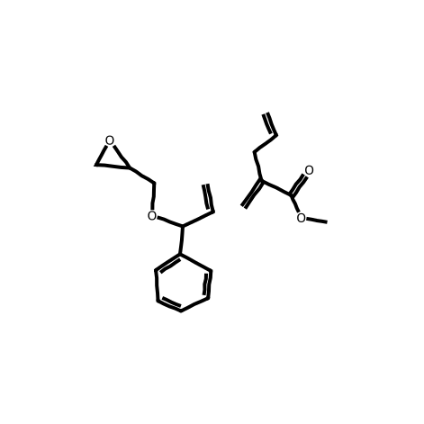 C=CC(OCC1CO1)c1ccccc1.C=CCC(=C)C(=O)OC